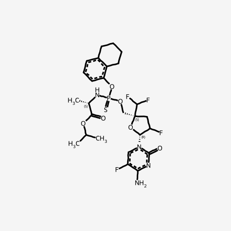 CC(C)OC(=O)[C@H](C)NP(=S)(OC[C@]1(C(F)F)CC(F)[C@H](n2cc(F)c(N)nc2=O)O1)Oc1cccc2c1CCCC2